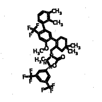 COc1cc(C(F)(F)F)c(-c2cccc(C)c2C)cc1C1=C(CN2C(=O)O[C@H](c3cc(C(F)(F)F)cc(C(F)(F)F)c3)[C@@H]2C)CC(C)(C)CC1